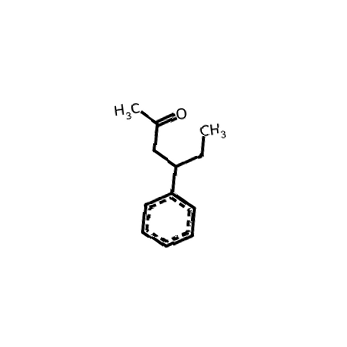 CCC(CC(C)=O)c1ccccc1